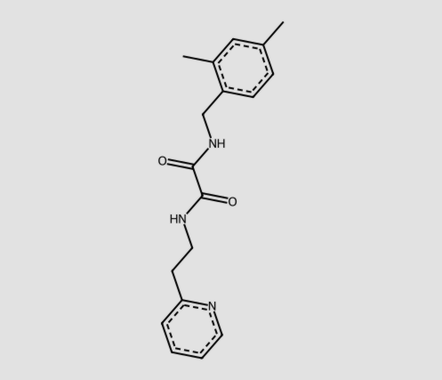 Cc1ccc(CNC(=O)C(=O)NCCc2ccccn2)c(C)c1